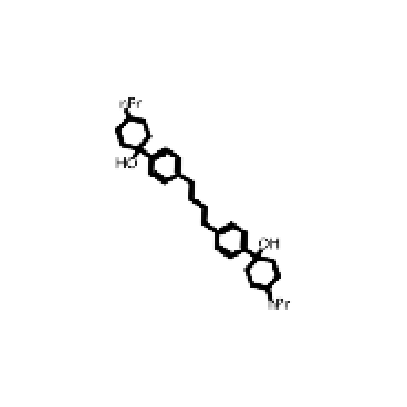 CCCC1CCC(O)(c2ccc(CCCCc3ccc(C4(O)CCC(CCC)CC4)cc3)cc2)CC1